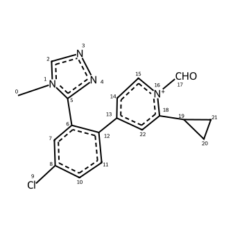 Cn1cnnc1-c1cc(Cl)ccc1-c1cc[n+](C=O)c(C2CC2)c1